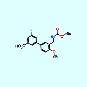 CCCOc1ccc(-c2cc(F)cc(C(=O)O)c2)cc1CNC(=O)OC(C)(C)C